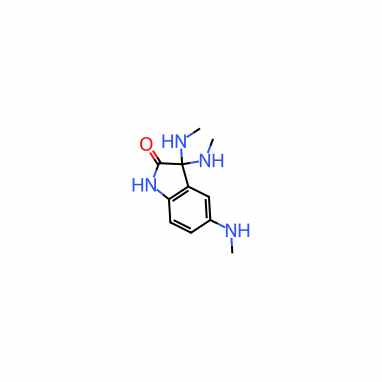 CNc1ccc2c(c1)C(NC)(NC)C(=O)N2